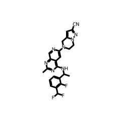 Cc1nc(NC(C)c2cccc(C(F)F)c2F)c2cc(N3CCn4nc(C#N)cc4C3)ncc2n1